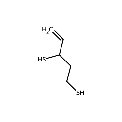 C=CC(S)CCS